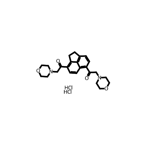 Cl.Cl.O=C(CN1CCOCC1)c1ccc2c(C(=O)CN3CCOCC3)ccc3c2c1CC3